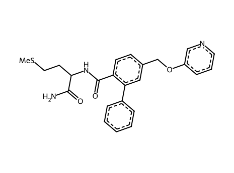 CSCCC(NC(=O)c1ccc(COc2cccnc2)cc1-c1ccccc1)C(N)=O